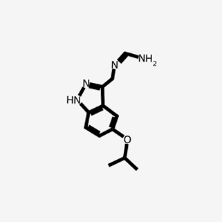 CC(C)Oc1ccc2[nH]nc(C/N=C\N)c2c1